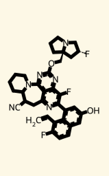 C=Cc1c(F)ccc2cc(O)cc(-c3nc4c5c(nc(OC[C@@]67CCCN6C[C@H](F)C7)nc5c3F)N3CCCCC3C(C#N)C4)c12